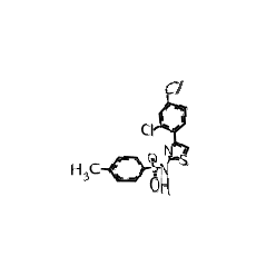 Cc1ccc(S(=O)(=O)Nc2nc(-c3ccc(Cl)cc3Cl)cs2)cc1